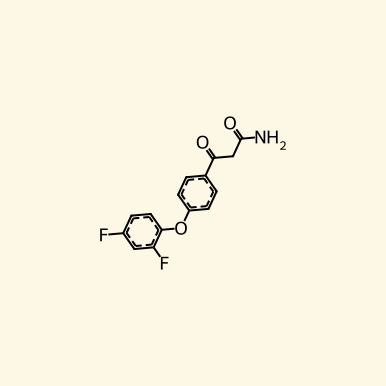 NC(=O)CC(=O)c1ccc(Oc2ccc(F)cc2F)cc1